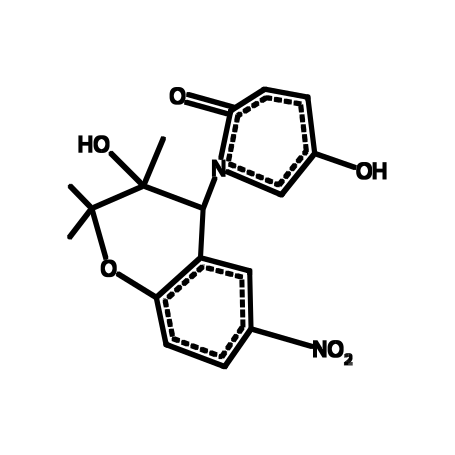 CC1(C)Oc2ccc([N+](=O)[O-])cc2C(n2cc(O)ccc2=O)C1(C)O